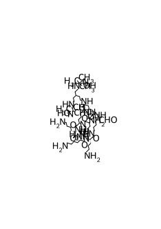 C/C(=N/O)C(C)(C)NCCC(CCNC(=O)CCCC(=O)N[C@H](C=O)CCCCNC(=O)[C@H](CCCCN)NC(=O)C(CCCCN)NC(=O)[C@H](CCCCN)NC(=O)C(CCCCN)NC(=O)[C@@H](N)CCCCN)CCNC(C)(C)/C(C)=N\O